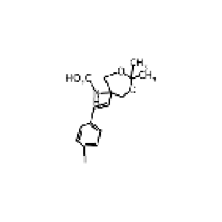 CC1(C)OCC(C=Cc2ccc(I)cc2)(NC(=O)O)CO1